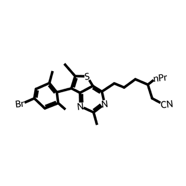 CCCC(CC#N)CCCc1nc(C)nc2c(-c3c(C)cc(Br)cc3C)c(C)sc12